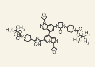 CC(C)(C)OC(=O)N1CCC(c2nc(-c3cc(-c4cc(N5CCN(C6CCN(C(=O)OC(C)(C)C)CC6)C5=O)cc5c4cnn5C4COC4)c4cnc(C5COC5)n4c3)no2)CC1